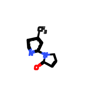 O=C1C=CCN1c1cc(C(F)(F)F)ccn1